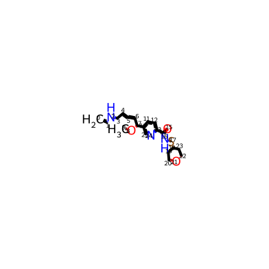 C=CNCC=C=CC(OC)c1ccc(C(=O)NSC2CCOCC2)nc1